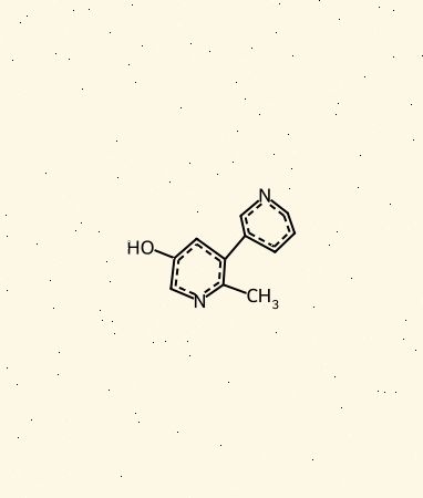 Cc1ncc(O)cc1-c1cccnc1